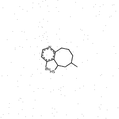 CCC(C)c1ccnc2c1C(S)CC(C)CCC2